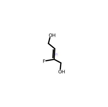 OC/C=C(\F)CO